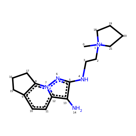 C[N+]1(CCNc2nn3c4c(ccc3c2N)CCC4)CCCC1